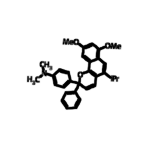 COc1cc(OC)c2cc(C(C)C)c3c(c2c1)OC(c1ccccc1)(c1ccc(N(C)C)cc1)C=C3